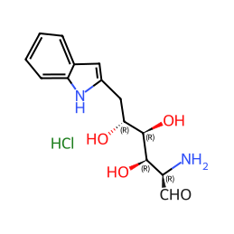 Cl.N[C@@H](C=O)[C@@H](O)[C@H](O)[C@H](O)Cc1cc2ccccc2[nH]1